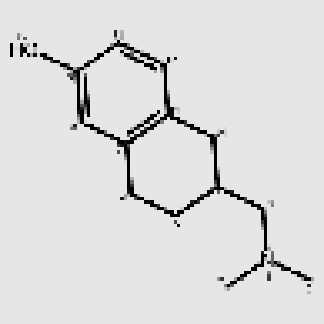 CN(C)CC1CCc2cc(O)ccc2C1